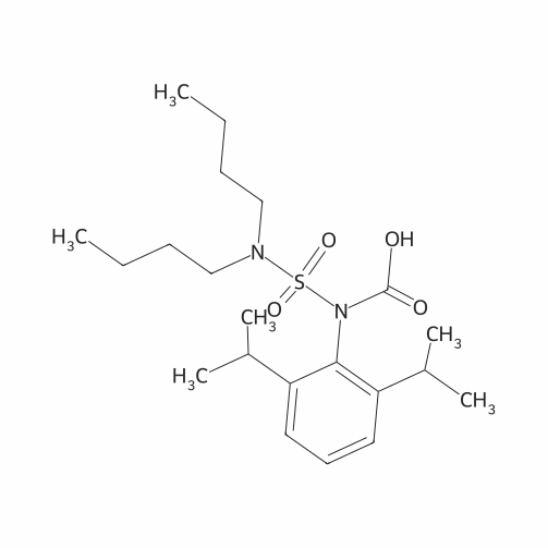 CCCCN(CCCC)S(=O)(=O)N(C(=O)O)c1c(C(C)C)cccc1C(C)C